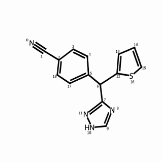 N#Cc1ccc(C(c2nc[nH]n2)c2cccs2)cc1